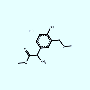 COCc1cc(C(N)C(=O)OC)ccc1O.Cl